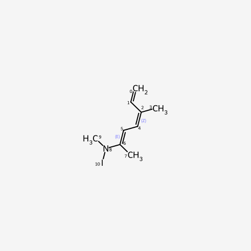 C=C/C(C)=C\C=C(/C)N(C)I